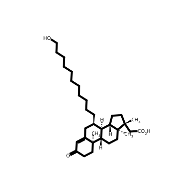 C[C@]1(CC(=O)O)CC[C@H]2[C@@H]3[C@H](CCCCCCCCCCCO)CC4=CC(=O)CC[C@]4(C)[C@H]3CC[C@@]21C